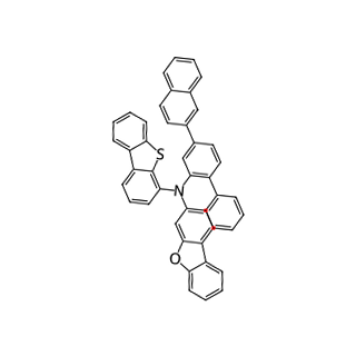 c1ccc(-c2ccc(-c3ccc4ccccc4c3)cc2N(c2ccc3c(c2)oc2ccccc23)c2cccc3c2sc2ccccc23)cc1